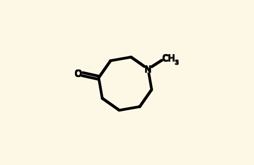 CN1CCCCC(=O)CC1